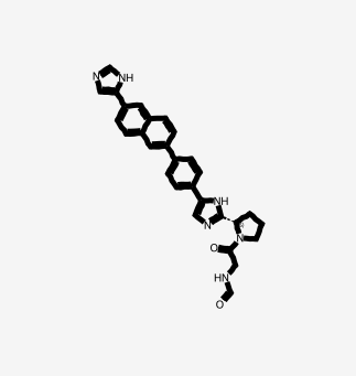 O=CNCC(=O)N1CCC[C@H]1c1ncc(-c2ccc(-c3ccc4cc(-c5cnc[nH]5)ccc4c3)cc2)[nH]1